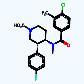 CN(C(=O)c1ccc(Cl)c(C(F)(F)F)c1)[C@@H]1CCN(C(=O)O)C[C@H]1c1ccc(F)cc1